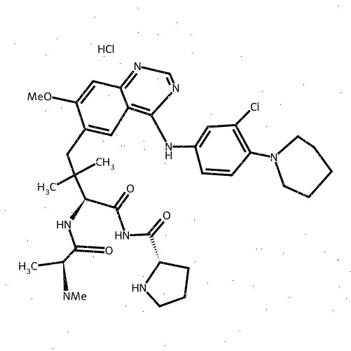 CN[C@@H](C)C(=O)N[C@H](C(=O)NC(=O)[C@@H]1CCCN1)C(C)(C)Cc1cc2c(Nc3ccc(N4CCCCC4)c(Cl)c3)ncnc2cc1OC.Cl